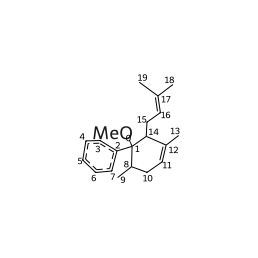 COC1(c2ccccc2)C(C)CC=C(C)C1CC=C(C)C